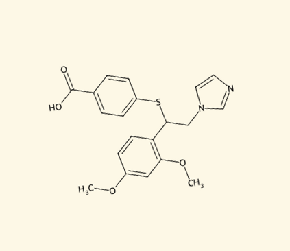 COc1ccc(C(Cn2ccnc2)Sc2ccc(C(=O)O)cc2)c(OC)c1